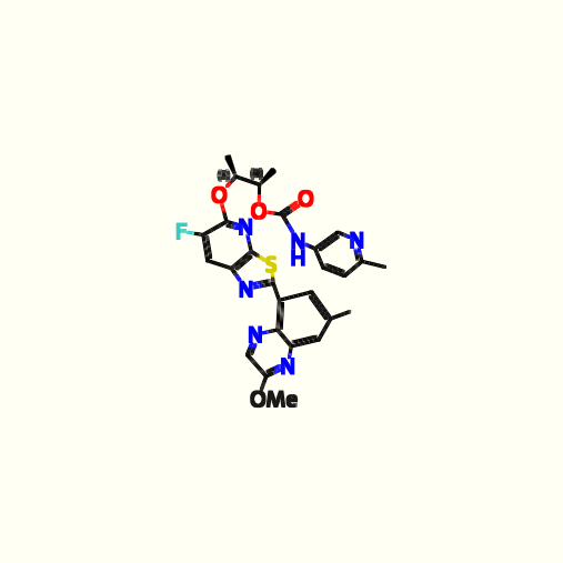 COc1cnc2c(-c3nc4cc(F)c(O[C@@H](C)[C@@H](C)OC(=O)Nc5ccc(C)nc5)nc4s3)cc(C)cc2n1